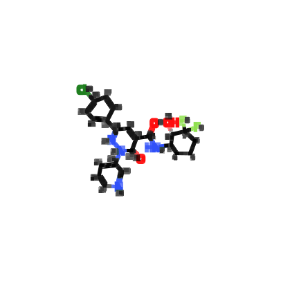 O=C(N[C@@H]1CCCC(F)(F)[C@H]1O)c1cc(-c2ccc(Cl)cc2)nn(-c2cccnc2)c1=O